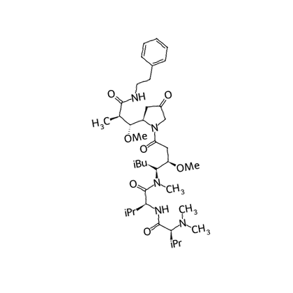 CC[C@H](C)[C@@H]([C@@H](CC(=O)N1CC(=O)C[C@@H]1[C@H](OC)[C@@H](C)C(=O)NCCc1ccccc1)OC)N(C)C(=O)[C@@H](NC(=O)[C@H](C(C)C)N(C)C)C(C)C